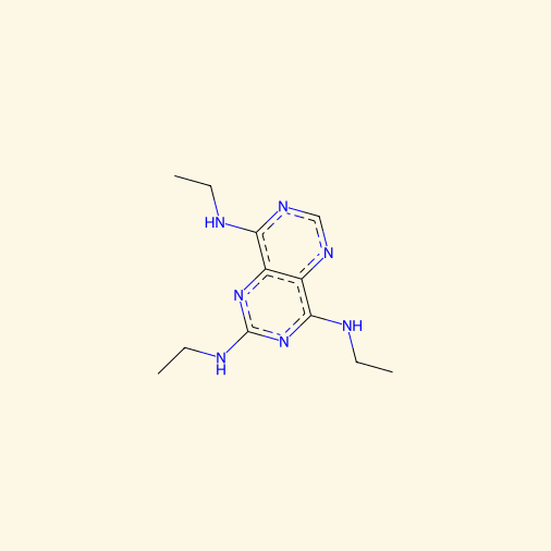 CCNc1nc(NCC)c2ncnc(NCC)c2n1